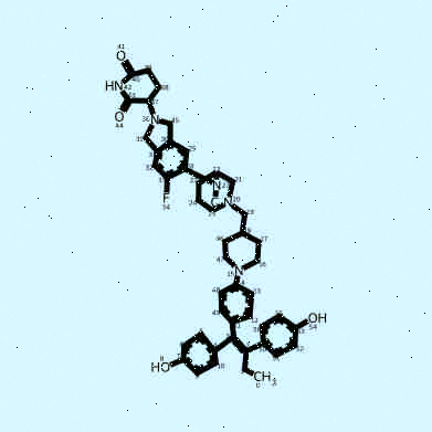 CCC(=C(c1ccc(O)cc1)c1ccc(N2CCC(CN3CC4CCC3CN4c3cc4c(cc3F)CN(C3CCC(=O)NC3=O)C4)CC2)cc1)c1ccc(O)cc1